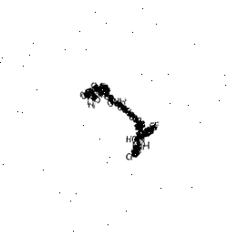 O=C(COc1cccc2c1CN(C1CCC(=O)NC1=O)C2=O)NCCOCCOCCOCCOc1ccc(CCc2c(-c3ccc(C(F)(F)F)cc3)nn(-c3nc4cc(Cl)ccc4[nH]3)c2O)cc1